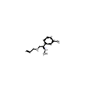 C=CCOC/C(=N\O)c1cccc(Br)c1